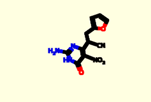 N#CC(Cc1ccco1)c1nc(N)[nH]c(=O)c1[N+](=O)[O-]